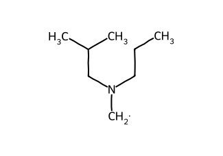 [CH2]N(CCC)CC(C)C